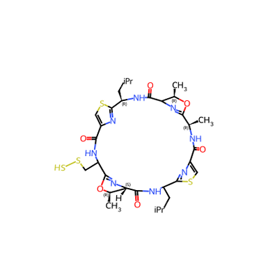 CC(C)CC1NC(=O)[C@H]2N=C(O[C@@H]2C)C(CSS)NC(=O)c2csc(n2)[C@@H](CC(C)C)NC(=O)C2N=C(O[C@@H]2C)[C@@H](C)NC(=O)c2csc1n2